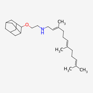 CC(C)=CCC/C(C)=C/CC/C(C)=C/CNCCOC1C2CC3CC(C2)CC1C3